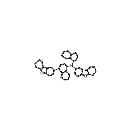 c1ccc2c(N(c3ccc4oc5ccccc5c4c3)c3ccc(-c4ccc5oc6ccccc6c5c4)c4ccccc34)cccc2c1